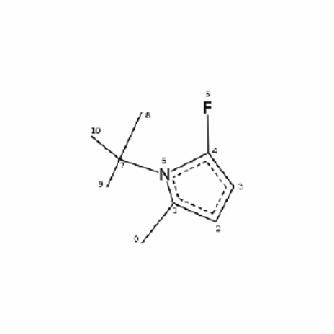 Cc1ccc(F)n1C(C)(C)C